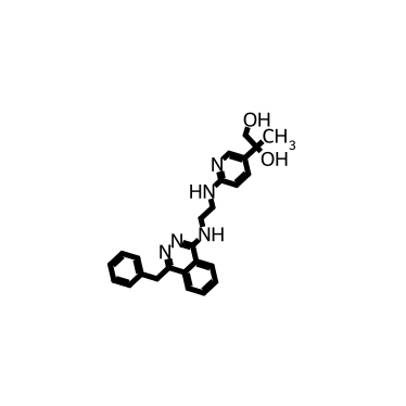 CC(O)(CO)c1ccc(NCCNc2nnc(Cc3ccccc3)c3ccccc23)nc1